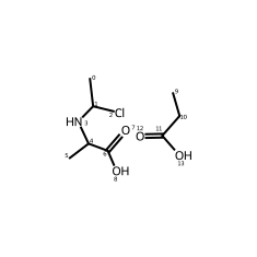 CC(Cl)NC(C)C(=O)O.CCC(=O)O